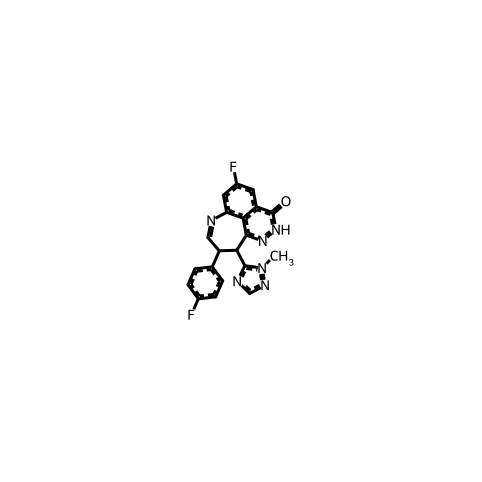 Cn1ncnc1C1c2n[nH]c(=O)c3cc(F)cc(c23)N=CC1c1ccc(F)cc1